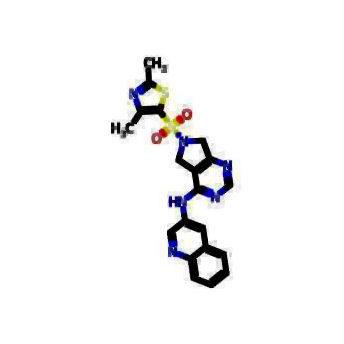 Cc1nc(C)c(S(=O)(=O)N2Cc3ncnc(Nc4cnc5ccccc5c4)c3C2)s1